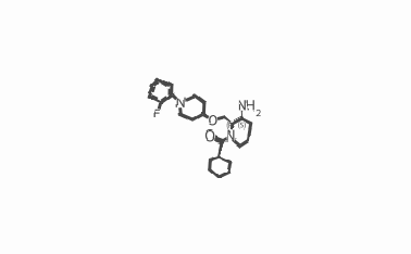 N[C@H]1CCCN(C(=O)C2CCCCC2)[C@H]1COC1CCN(c2ccccc2F)CC1